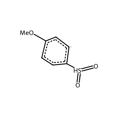 COc1c[c]c([SH](=O)=O)cc1